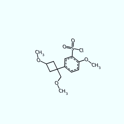 COCC1(c2ccc(OC)c(S(=O)(=O)Cl)c2)CC(OC)C1